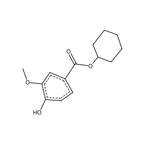 COc1cc(C(=O)OC2CCCCC2)ccc1O